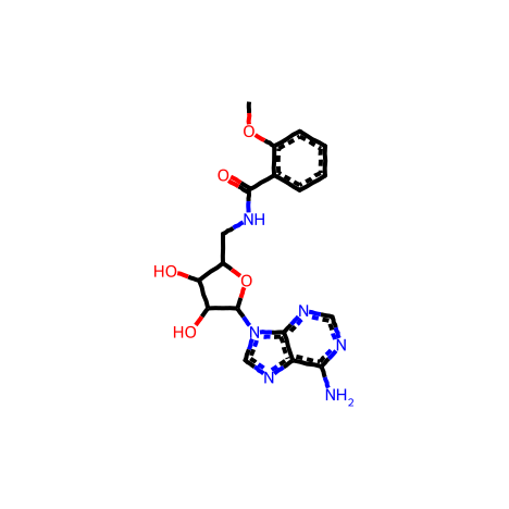 COc1ccccc1C(=O)NCC1OC(n2cnc3c(N)ncnc32)C(O)C1O